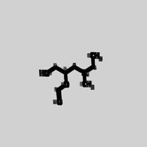 CCN(C)CC(CO)OC=O